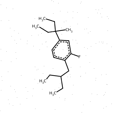 CCC(CC)Cc1ccc(C(C)(CC)CC)cc1F